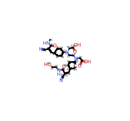 CNC(=O)C(C#N)=Cc1ccc(N(CCN(CC(=O)O)c2ccc(C=C(C#N)C(=O)NCCO)cc2)CC(=O)O)cc1